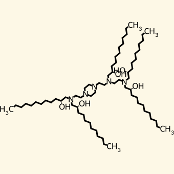 CCCCCCCCCC[C@@H](O)CN(CCN1CCN(CCN(C[C@H](O)CCCCCCCCCC)C[C@H](O)CCCCCCCCCC)CC1)CCN(C[C@H](O)CCCCCCCCC)C[C@H](O)CCCCCCCCCC